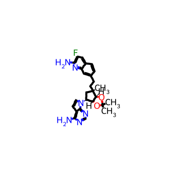 CC1(C)O[C@H]2[C@H](n3ccc4c(N)ncnc43)C[C@](C)(CCc3ccc4cc(F)c(N)nc4c3)[C@H]2O1